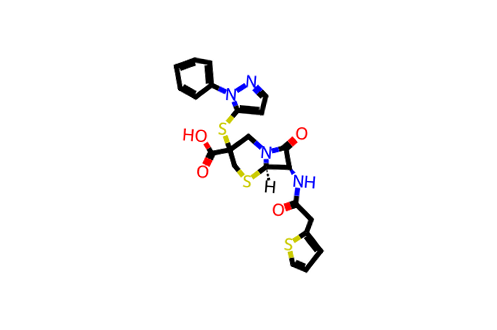 O=C(Cc1cccs1)N[C@@H]1C(=O)N2CC(Sc3ccnn3-c3ccccc3)(C(=O)O)CS[C@H]12